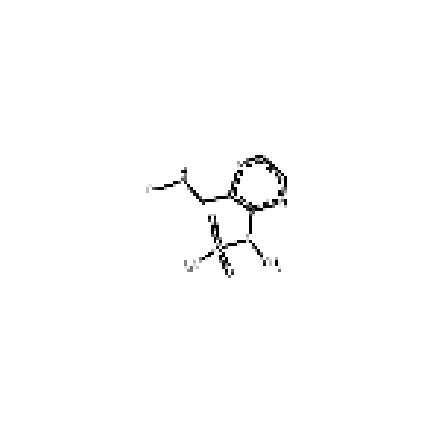 CC(C)NCc1nccnc1N(C)S(C)(=O)=O